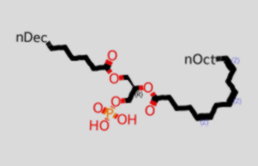 CCCCCCCC/C=C\C/C=C\C/C=C\CCCC(=O)O[C@H](COC(=O)CCCCCCCCCCCCCCC)COP(=O)(O)O